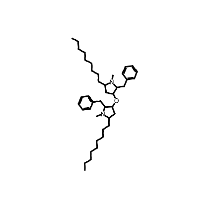 CCCCCCCCCC1CC(OC2CC(CCCCCCCCC)N(C)C2Cc2ccccc2)C(Cc2ccccc2)N1C